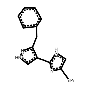 CCCc1c[nH]c(-c2c[nH]nc2Cc2ccccc2)n1